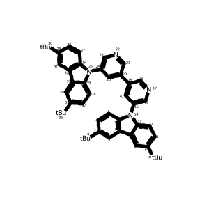 CC(C)(C)c1ccc2c(c1)c1cc(C(C)(C)C)ccc1n2-c1cncc(-c2cncc(-n3c4ccc(C(C)(C)C)cc4c4cc(C(C)(C)C)ccc43)c2)c1